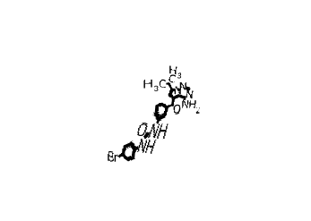 CC(C)c1cc(C(=O)c2cccc(NC(=O)Nc3ccc(Br)cc3)c2)c2c(N)ncnn12